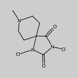 CN1CCC2(CC1)C(=O)N(Cl)C(=O)N2Cl